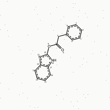 O=C(Cc1ccccc1)Oc1nc2ccccc2[nH]1